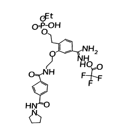 CCOP(=O)(O)OCCc1ccc(C(=N)N)cc1OCCNC(=O)c1ccc(C(=O)NN2CCCC2)cc1.O=C(O)C(F)(F)F